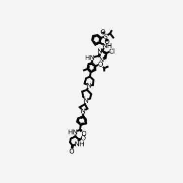 Cc1cc(Nc2ncc(Cl)c(Nc3ccccc3S(=O)(=O)C(C)C)n2)c(OC(C)C)cc1C1CCN(C2CCN(C3CN(c4ccc(C(=O)NC5CCC(=O)NC5=O)cc4)C3)CC2)CC1